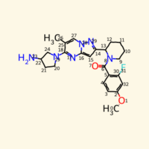 COc1ccc(C(=O)N2CCCCC2c2cc3nc(N4CCC(N)C4)c(C)cn3n2)c(F)c1